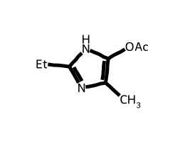 CCc1nc(C)c(OC(C)=O)[nH]1